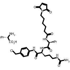 CC(C)[C@H](N)C(=O)O.CC(C)[C@H](NC(=O)CCCCCN1C(=O)C=CC1=O)C(=O)N[C@@H](CCCNC(N)=O)C(=O)Nc1ccc(CCl)cc1